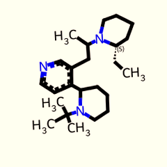 CC[C@H]1CCCCN1C(C)Cc1cnccc1C1CCCCN1C(C)(C)C